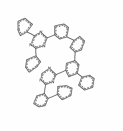 c1ccc(-c2cc(-c3cccc(-c4cccc(-c5nc(-c6ccccc6)nc(-c6ccccc6)n5)c4)c3)cc(-c3ncnc(-c4ccccc4-c4ccccc4)n3)c2)cc1